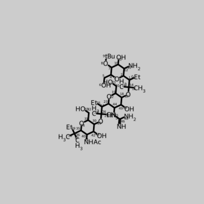 CCC(C1OC(CO)C(OC(C)(C)C)C(O)C1N)C(C)(C)OC1C(CO)OC(C(CC)C(C)(C)OC2C(CO)OC(C(C)(C)CC)C(NC(C)=O)C2O)C(NC(=N)N)C1O